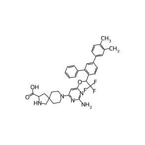 Cc1ccc(-c2ccc(C(Oc3cc(N4CCC5(CC4)CNC(C(=O)O)C5)nc(N)n3)C(F)(F)F)c(-c3ccccc3)c2)cc1C